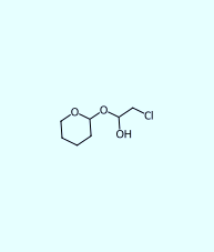 OC(CCl)OC1CCCCO1